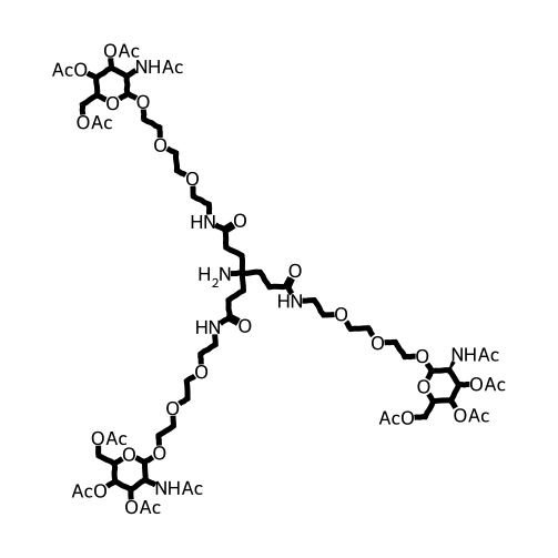 CC(=O)NC1C(OCCOCCOCCNC(=O)CCC(N)(CCC(=O)NCCOCCOCCOC2OC(COC(C)=O)C(OC(C)=O)C(OC(C)=O)C2NC(C)=O)CCC(=O)NCCOCCOCCOC2OC(COC(C)=O)C(OC(C)=O)C(OC(C)=O)[C@@H]2NC(C)=O)OC(COC(C)=O)C(OC(C)=O)C1OC(C)=O